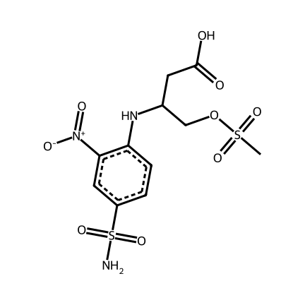 CS(=O)(=O)OCC(CC(=O)O)Nc1ccc(S(N)(=O)=O)cc1[N+](=O)[O-]